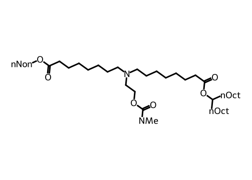 CCCCCCCCCOC(=O)CCCCCCCN(CCCCCCCC(=O)OC(CCCCCCCC)CCCCCCCC)CCOC(=O)NC